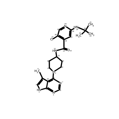 Cc1c[nH]c2ncnc(N3CCC(NC(=O)c4cc(NC(C)(C)C)ncc4Cl)CC3)c12